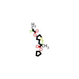 C=C(F)C(=O)OC1CCSC(CC(C)(F)C(=O)OC2CCCC2)C1